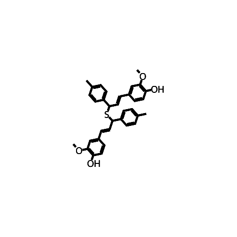 COc1cc(C=CC(SC(C=Cc2ccc(O)c(OC)c2)c2ccc(C)cc2)c2ccc(C)cc2)ccc1O